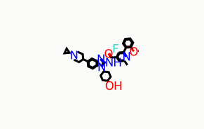 COc1ccccc1-c1nc(C)cc(C(=O)Nc2nc3cc(C4CCN(C5CC5)CC4)ccc3n2[C@H]2CC[C@@H](O)CC2)c1F